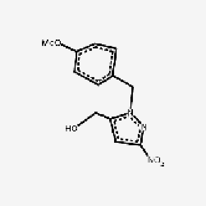 COc1ccc(Cn2nc([N+](=O)[O-])cc2CO)cc1